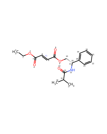 CCOC(=O)/C=C/C(=O)OC[C@@H](NC(=O)C(C)C)c1ccccc1